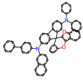 c1ccc(-c2ccc(N(c3ccc4c(c3)C3(c5ccccc5Oc5c3oc3ccccc53)c3cc(N(c5ccccc5)c5ccccc5)ccc3-4)c3ccc4ccccc4c3)cc2)cc1